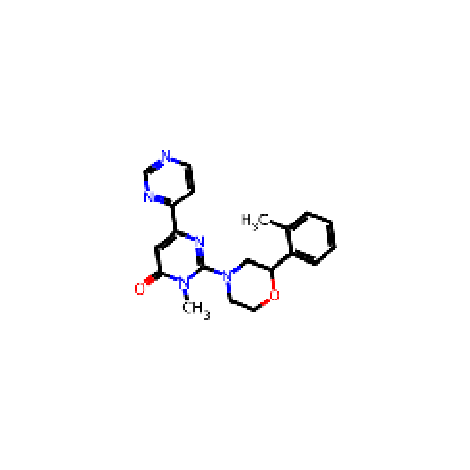 Cc1ccccc1C1CN(c2nc(-c3ccncn3)cc(=O)n2C)CCO1